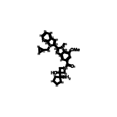 COc1cc(C(=O)N2CC(O)(C3(N)CCCC3)C2)cc2nc(-c3cc4cccnc4n3CC3CC3)n(C)c12